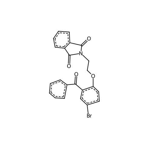 O=C(c1ccccc1)c1cc(Br)ccc1OCCN1C(=O)c2ccccc2C1=O